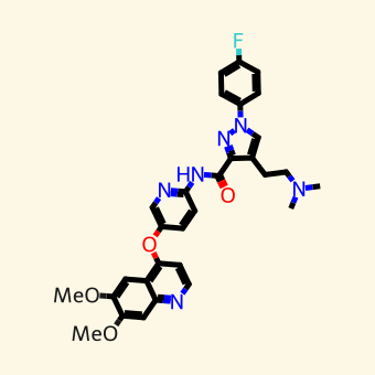 COc1cc2nccc(Oc3ccc(NC(=O)c4nn(-c5ccc(F)cc5)cc4CCN(C)C)nc3)c2cc1OC